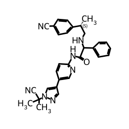 C[C@H](CNC(C(=O)Nc1ccc(-c2cnn(C(C)(C)C#N)c2)cn1)c1ccccc1)c1ccc(C#N)cc1